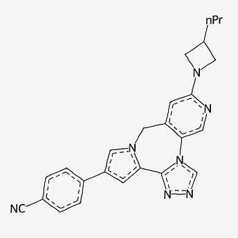 CCCC1CN(c2cc3c(cn2)-n2cnnc2-c2cc(-c4ccc(C#N)cc4)cn2C3)C1